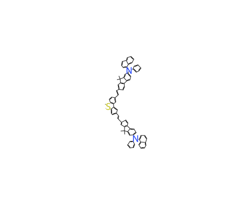 CC1(C)c2cc(/C=C/c3ccc4c(c3)-c3cc(/C=C/c5ccc6c(c5)C(C)(C)c5cc(N(c7ccccc7)c7cccc8ccccc78)ccc5-6)ccc3S4(C)C)ccc2-c2ccc(N(c3ccccc3)c3cccc4ccccc34)cc21